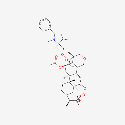 CC(=O)O[C@@H]1C[C@@]23COC[C@](C)([C@@H]2CC[C@H]2C3=CC(=O)[C@@]3(C)[C@H](C(=O)O)[C@@](C)([C@H](C)C(C)C)CC[C@]23C)[C@H]1OC[C@](C)(C(C)C)N(C)Cc1ccccc1